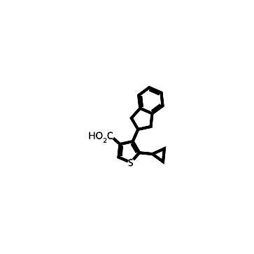 O=C(O)c1csc(C2CC2)c1C1Cc2ccccc2C1